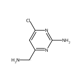 N[CH]c1cc(Cl)nc(N)n1